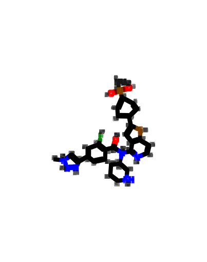 CNS(=O)(=O)c1ccc(-c2cc3c(N(C(=O)c4ccc(-c5cn(C)nn5)cc4F)[C@@H]4CCCNC4)nccc3s2)cc1